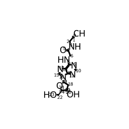 C#CCNC(=O)CNc1ncnc2c1ncn2[C@H]1C[C@H](O)[C@@H](CO)O1